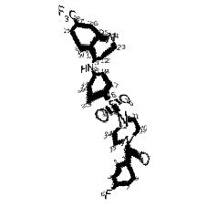 O=C(c1ccc(F)cc1)N1CCN(S(=O)(=O)c2ccc(Nc3ccnc4cc(C(F)(F)F)ccc34)cc2)CC1